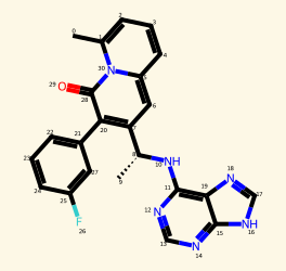 Cc1cccc2cc([C@@H](C)Nc3ncnc4[nH]cnc34)c(-c3cccc(F)c3)c(=O)n12